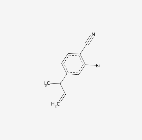 C=C[C](C)c1ccc(C#N)c(Br)c1